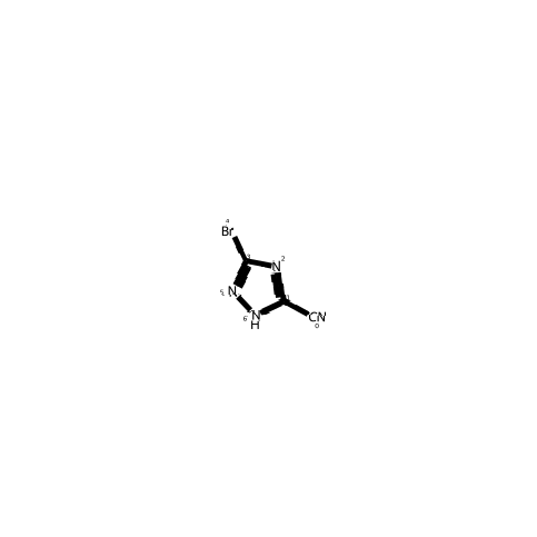 N#Cc1nc(Br)n[nH]1